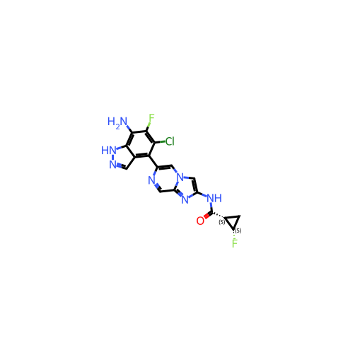 Nc1c(F)c(Cl)c(-c2cn3cc(NC(=O)[C@@H]4C[C@@H]4F)nc3cn2)c2cn[nH]c12